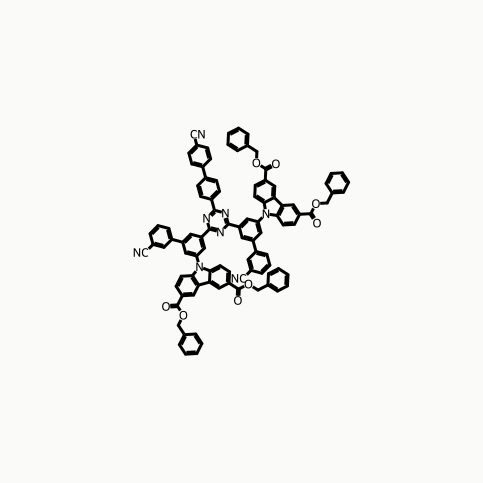 N#Cc1ccc(-c2ccc(-c3nc(-c4cc(-c5cccc(C#N)c5)cc(-n5c6ccc(C(=O)OCc7ccccc7)cc6c6cc(C(=O)OCc7ccccc7)ccc65)c4)nc(-c4cc(-c5cccc(C#N)c5)cc(-n5c6ccc(C(=O)OCc7ccccc7)cc6c6cc(C(=O)OCc7ccccc7)ccc65)c4)n3)cc2)cc1